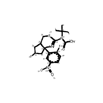 CC(C)(C)N(C(=O)O)C1=NC2(c3cc([N+](=O)[O-])ccc3F)CC(F)CC2CS1